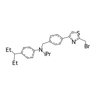 CCC(CC)c1ccc(N(Cc2ccc(-c3csc(CBr)n3)cc2)C(C)C)cc1